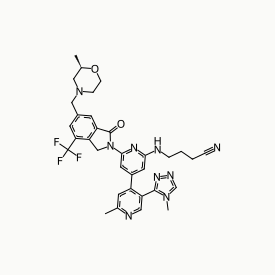 Cc1cc(-c2cc(NCCCC#N)nc(N3Cc4c(cc(CN5CCO[C@H](C)C5)cc4C(F)(F)F)C3=O)c2)c(-c2nncn2C)cn1